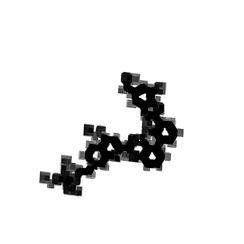 Cc1cc(C(=O)Nc2cccc(-c3cccc(-c4nc5cc(CO)cc(Cl)c5o4)c3C)c2Cl)nc2c1CCN(CCO[Si](C)(C)C(C)(C)C)C2